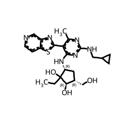 CCC1(O)[C@H](O)[C@@H](CO)C[C@H]1Nc1nc(NCC2CC2)nc(C)c1-c1nc2cnccc2s1